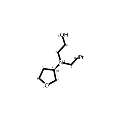 CC(C)CN(CCO)[C@@H]1CCOC1